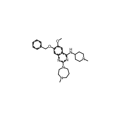 COc1cc2c(NC3CCN(C)CC3)nc(N3CCCN(C)CC3)nc2cc1OCc1ccccc1